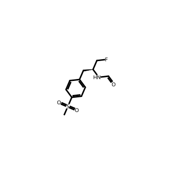 CS(=O)(=O)c1ccc(C[C@@H](CF)NC=O)cc1